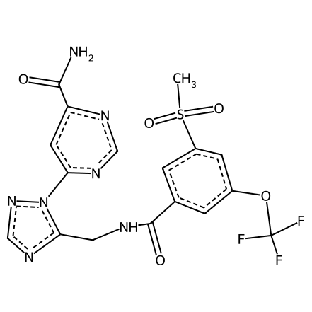 CS(=O)(=O)c1cc(OC(F)(F)F)cc(C(=O)NCc2ncnn2-c2cc(C(N)=O)ncn2)c1